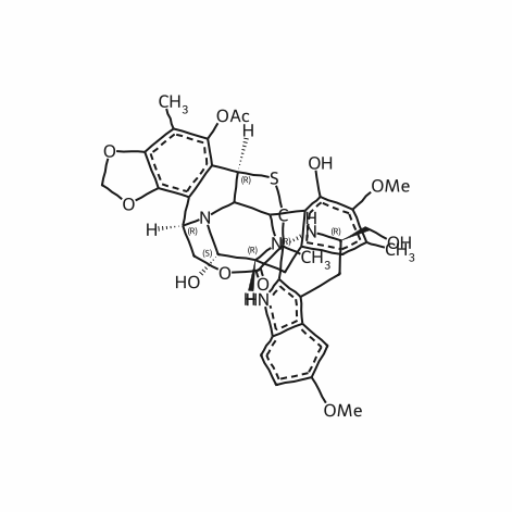 COc1ccc2[nH]c3c(c2c1)C[C@H](CO)N[C@]31CS[C@@H]2c3c(OC(C)=O)c(C)c4c(c3[C@H](COC1=O)N1C2C2c3c(cc(C)c(OC)c3O)C[C@H]([C@@H]1O)N2C)OCO4